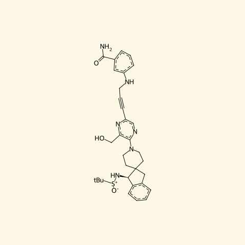 CC(C)(C)[S+]([O-])N[C@@H]1c2ccccc2CC12CCN(c1ncc(C#CCNc3cccc(C(N)=O)c3)nc1CO)CC2